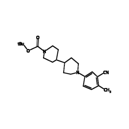 Cc1ccc(N2CCC(C3CCN(C(=O)OC(C)(C)C)CC3)CC2)cc1C#N